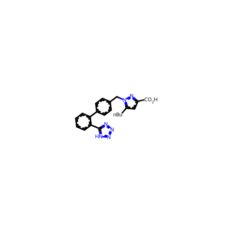 CCCCc1cc(C(=O)O)nn1Cc1ccc(-c2ccccc2-c2nnn[nH]2)cc1